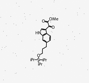 COC(=O)C(=O)c1c[nH]c2cc(CCCO[Si](C(C)C)(C(C)C)C(C)C)ccc12